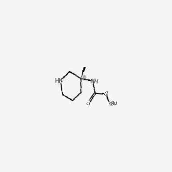 CC(C)(C)OC(=O)N[C@]1(C)CCCNC1